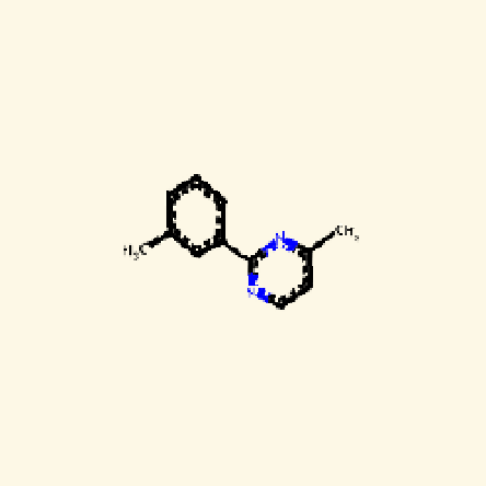 Cc1cccc(-c2nccc(C)n2)c1